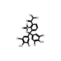 O=C(c1cccc2c1S(=O)(=O)OC2(c1cc(Cl)c(O)c(Br)c1)c1cc(Cl)c(O)c(Br)c1)C(Cl)Cl